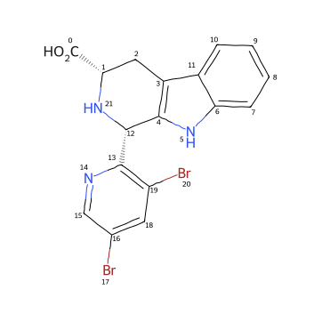 O=C(O)[C@@H]1Cc2c([nH]c3ccccc23)[C@H](c2ncc(Br)cc2Br)N1